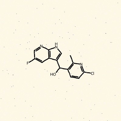 Cc1nc(Cl)ccc1C(O)c1c[nH]c2ncc(F)cc12